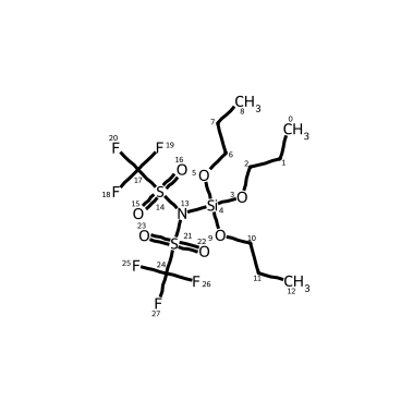 CCCO[Si](OCCC)(OCCC)N(S(=O)(=O)C(F)(F)F)S(=O)(=O)C(F)(F)F